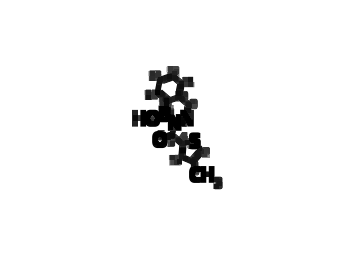 Cc1csc(C(=O)N2N=Cc3ccccc3B2O)c1